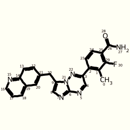 Cc1c(-c2cnc3ncc(Cc4ccc5ncccc5c4)n3n2)ccc(C(N)=O)c1F